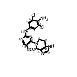 Nc1c(Cl)cc(Nc2ncc([N+](=O)[O-])c(N3CCc4[nH]cnc4C3)n2)cc1Cl